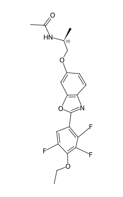 CCOc1c(F)cc(-c2nc3ccc(OC[C@H](C)NC(C)=O)cc3o2)c(F)c1F